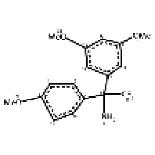 COc1ccc(C(N)(c2cc(OC)cc(OC)c2)C(F)(F)F)cc1